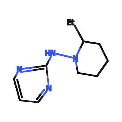 CCC1CCCCN1Nc1ncccn1